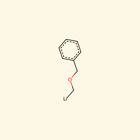 [Li][CH2]OCc1ccccc1